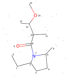 CCC1CCC(C)N1C(=O)C(C)C(C)OC